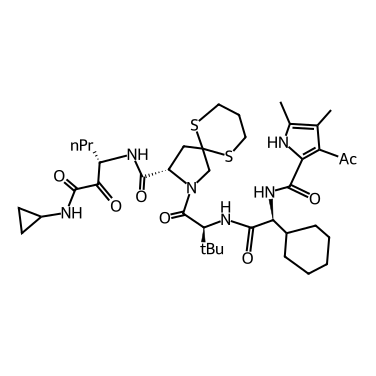 CCC[C@H](NC(=O)[C@@H]1CC2(CN1C(=O)[C@@H](NC(=O)[C@@H](NC(=O)c1[nH]c(C)c(C)c1C(C)=O)C1CCCCC1)C(C)(C)C)SCCCS2)C(=O)C(=O)NC1CC1